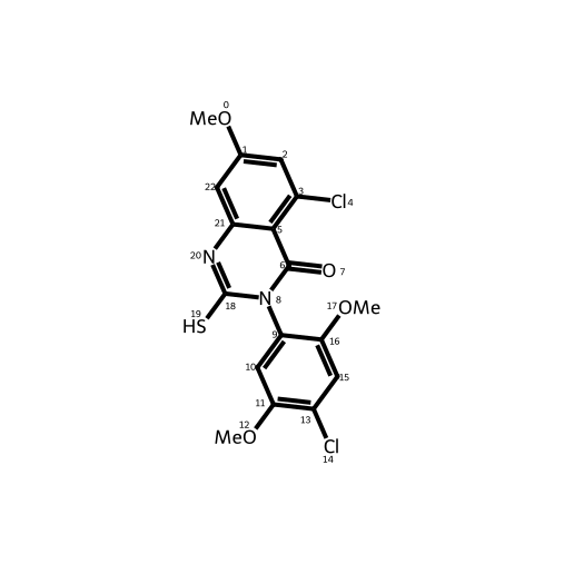 COc1cc(Cl)c2c(=O)n(-c3cc(OC)c(Cl)cc3OC)c(S)nc2c1